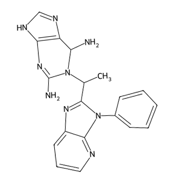 CC(c1nc2cccnc2n1-c1ccccc1)N1C(N)=Nc2[nH]cnc2C1N